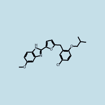 COc1ccc2[nH]c(-c3ccc(Cc4cc(Cl)ccc4OCC(C)C)o3)nc2c1